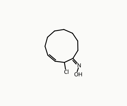 ON=C1CCCCCCCC=CC1Cl